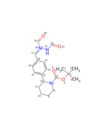 CC(C)(C)OC(=O)N1CCCCC1c1ccc(C=[N+](C=O)NC=O)cc1